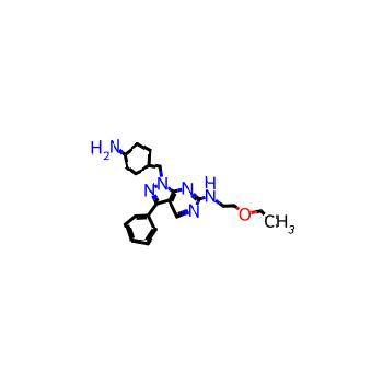 CCOCCNc1ncc2c(-c3ccccc3)nn(CC3CCC(N)CC3)c2n1